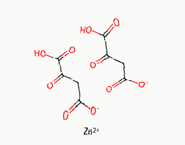 O=C([O-])CC(=O)C(=O)O.O=C([O-])CC(=O)C(=O)O.[Zn+2]